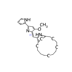 COC1=CC(c2ccc[nH]2)=N/C1=C/c1[nH]c2cc1CCCCCCCCCCC2